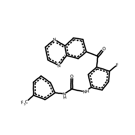 O=C(Nc1cccc(C(F)(F)F)c1)Nc1ccc(F)c(C(=O)c2ccc3nccnc3c2)c1